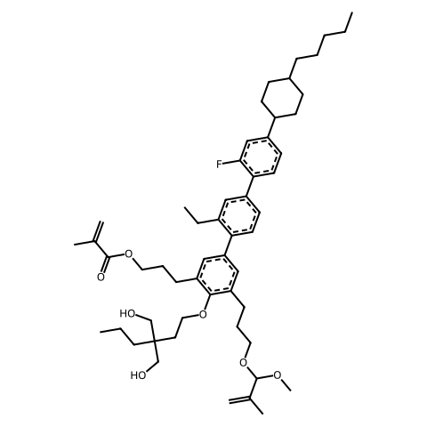 C=C(C)C(=O)OCCCc1cc(-c2ccc(-c3ccc(C4CCC(CCCCC)CC4)cc3F)cc2CC)cc(CCCOC(OC)C(=C)C)c1OCCC(CO)(CO)CCC